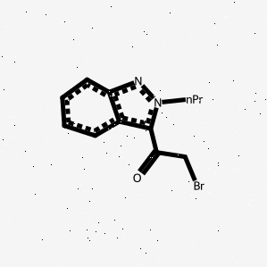 CCCn1nc2ccccc2c1C(=O)CBr